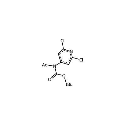 CC(=O)N(C(=O)OC(C)(C)C)c1cc(Cl)nc(Cl)c1